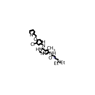 CCN(CC)C/C=C/C(=O)Nc1cn2c(c1C)[C@@H](Nc1ccc(OCc3ccccn3)c(Cl)c1)NC=N2